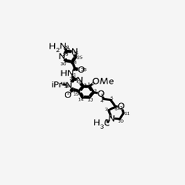 COc1c(OCCC2CN(C)CCO2)ccc2c(=O)n(C(C)C)c(NC(=O)c3cnc(N)nc3)nc12